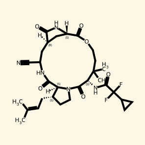 CC(C)=CC[C@H]1CCN2C(=O)[C@@H](NC(=O)C(F)(F)C3CC3)C(C)(C)CCOC(=O)[C@@H]3C[C@@H](CC(C#N)NC(=O)[C@H]12)C(=O)N3